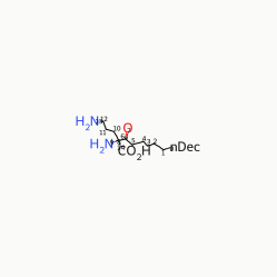 CCCCCCCCCCCCCCCC(=O)[C@](N)(CCCN)C(=O)O